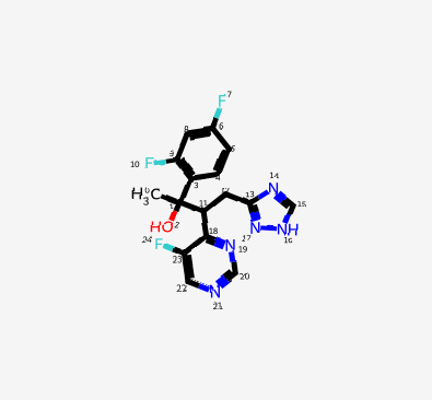 CC(O)(c1ccc(F)cc1F)C(Cc1nc[nH]n1)c1ncncc1F